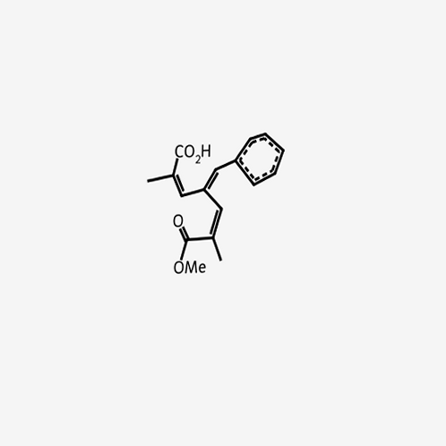 COC(=O)C(C)=CC(=Cc1ccccc1)C=C(C)C(=O)O